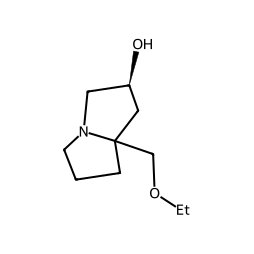 CCOCC12CCCN1C[C@@H](O)C2